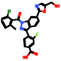 Cc1cccc(Cl)c1C(=O)n1nc(-c2ccc(C(=O)O)cc2F)c2ccc(-c3ncc(CO)o3)cc21